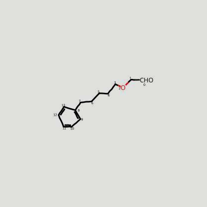 O=CCOCCCCCc1ccccc1